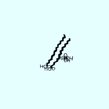 CCCCCCCCC=CCCCCCCCC(=O)O.CCCCCCCCC=CCCCCCCCC(=O)O.O=P(O)(O)O